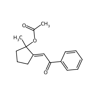 CC(=O)OC1(C)CCCC1=CC(=O)c1ccccc1